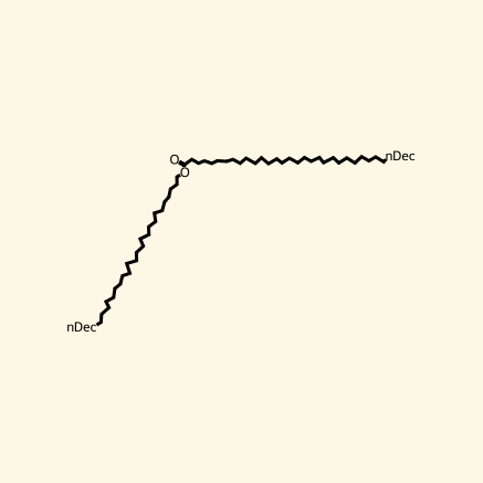 CCCCCCCCCCCCCCCCCCCCCCCCCCCCCCCCCCCCCCC(=O)OCCCCCCCCCCCCCCCCCCCCCCCCCCCCCCCCCC